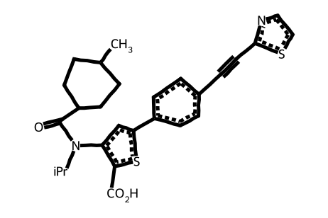 CC1CCC(C(=O)N(c2cc(-c3ccc(C#Cc4nccs4)cc3)sc2C(=O)O)C(C)C)CC1